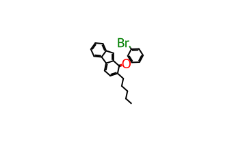 Brc1ccccc1.CCCCCC1=CC=C2C(=Cc3ccccc32)C1=O